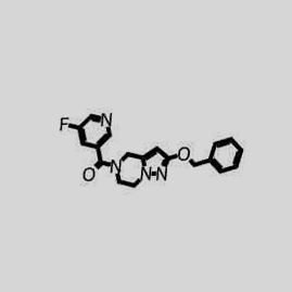 O=C(c1cncc(F)c1)N1CCn2nc(OCc3ccccc3)cc2C1